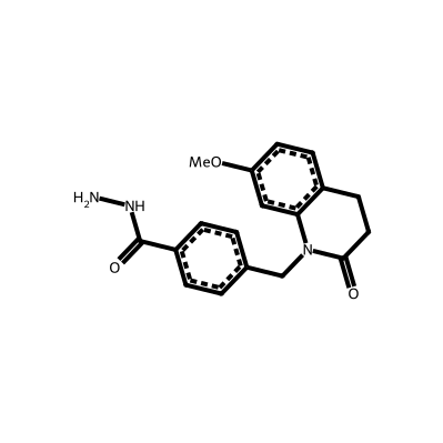 COc1ccc2c(c1)N(Cc1ccc(C(=O)NN)cc1)C(=O)CC2